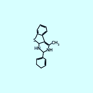 CC1=C2c3ccccc3SC2NC(C2=CCCC=C2)N1